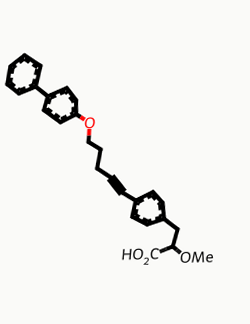 COC(Cc1ccc(C#CCCCOc2ccc(-c3ccccc3)cc2)cc1)C(=O)O